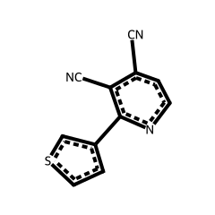 N#Cc1ccnc(-c2ccsc2)c1C#N